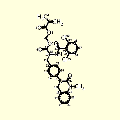 C=C(C)C(=O)OCOC(=O)[C@H](Cc1ccc(N2Cc3ccccc3N(C)C2=O)cc1)NC(=O)c1c(Cl)cccc1Cl